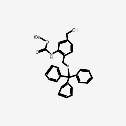 CC(C)(C)OC(=O)Nc1cc(CO)ccc1CSC(c1ccccc1)(c1ccccc1)c1ccccc1